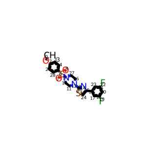 COc1ccc(S(=O)(=O)N2CCN(c3nc(-c4cc(F)cc(F)c4)cs3)CC2)cc1